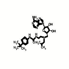 CC(C)CN(CCNC(=O)Nc1ccc(C(C)(C)C)cc1)C[C@H]1O[C@@H](n2cnc3c(N)ncnc32)[C@H](O)[C@@H]1O